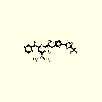 C\C(=C/N=C(\C=C(/N)N(C)C)Nc1cnccn1)Cc1ccc(-c2noc(C(F)(F)F)n2)s1